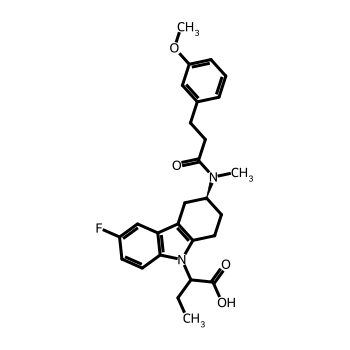 CCC(C(=O)O)n1c2c(c3cc(F)ccc31)C[C@@H](N(C)C(=O)CCc1cccc(OC)c1)CC2